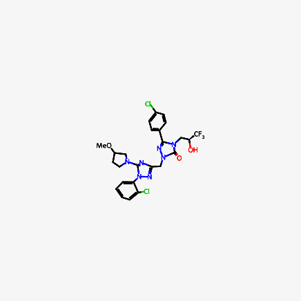 COC1CCN(c2nc(Cn3nc(-c4ccc(Cl)cc4)n(C[C@H](O)C(F)(F)F)c3=O)nn2-c2ccccc2Cl)C1